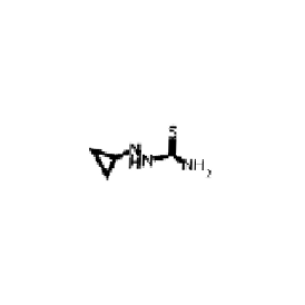 NC(=S)NNC1CC1